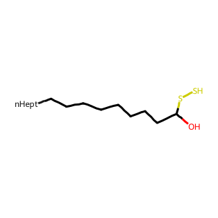 CCCCCCCCCCCCCCCC(O)SS